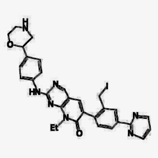 CCn1c(=O)c(-c2ccc(-c3ncccn3)cc2CI)cc2cnc(Nc3ccc(C4CNCCO4)cc3)nc21